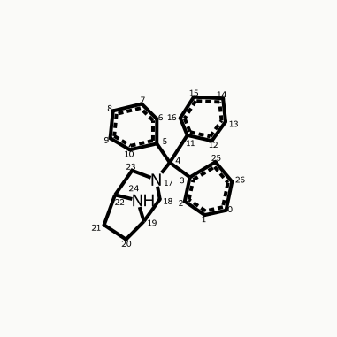 c1ccc(C(c2ccccc2)(c2ccccc2)N2CC3CCC(C2)N3)cc1